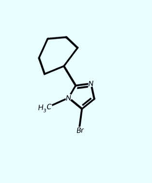 Cn1c(Br)cnc1C1CCCCC1